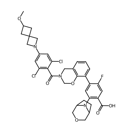 COC1CC2(C1)CN(c1cc(Cl)c(C(=O)N3COc4c(cccc4-c4cc(N5C6CCC5COC6)c(C(=O)O)cc4F)C3)c(Cl)c1)C2